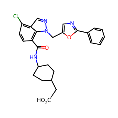 O=C(O)CC1CCC(NC(=O)c2ccc(Cl)c3cnn(Cc4cnc(-c5ccccc5)o4)c23)CC1